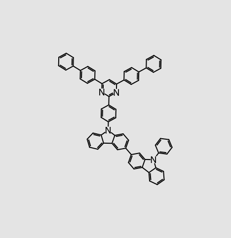 c1ccc(-c2ccc(-c3cc(-c4ccc(-c5ccccc5)cc4)nc(-c4ccc(-n5c6ccccc6c6cc(-c7ccc8c9ccccc9n(-c9ccccc9)c8c7)ccc65)cc4)n3)cc2)cc1